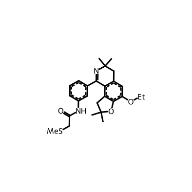 CCOc1cc2c(c3c1OC(C)(C)C3)C(c1cccc(NC(=O)CSC)c1)=NC(C)(C)C2